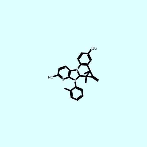 C=C1C2(C)c3cc(C(C)(C)C)ccc3N3c4ccc(C#N)nc4N(c4ccccc4C)C3C12C